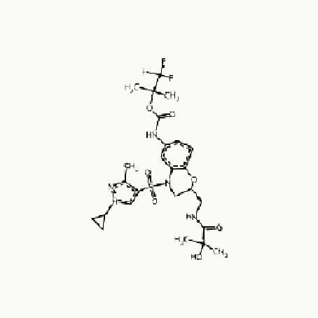 Cc1nn(C2CC2)cc1S(=O)(=O)N1C[C@H](CNC(=O)C(C)(C)O)Oc2ccc(NC(=O)OC(C)(C)C(F)(F)F)cc21